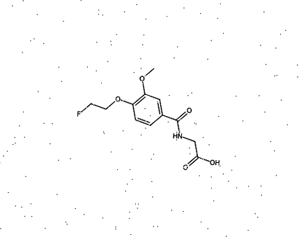 COc1cc(C(=O)NCC(=O)O)ccc1OCCF